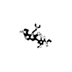 CCNC(=O)c1cc(OC)cc(-c2cc3cnc4[nH]ccc4c3n(CCN(CC)CC)c2=O)c1Cl